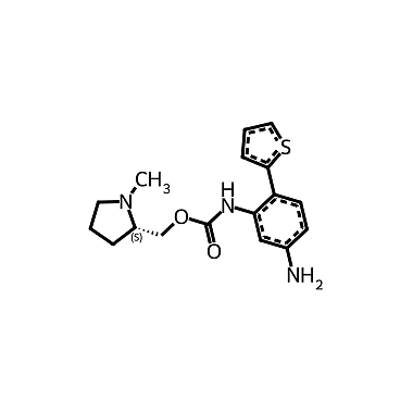 CN1CCC[C@H]1COC(=O)Nc1cc(N)ccc1-c1cccs1